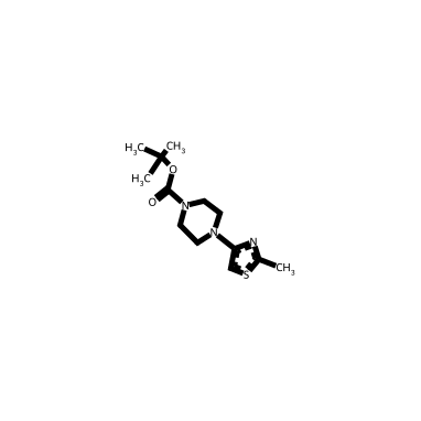 Cc1nc(N2CCN(C(=O)OC(C)(C)C)CC2)cs1